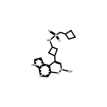 O=S(=O)(CC1CCC1)NC1CC(C2=CB(O)Oc3cnc4[nH]ccc4c32)C1